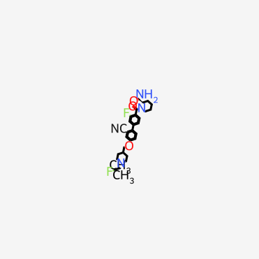 CC(C)(F)CN1CCC(COc2ccc(-c3ccc(C(=O)N4CCCC[C@@H]4C(N)=O)c(F)c3)c(C#N)c2)CC1